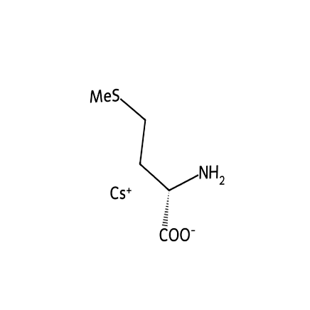 CSCC[C@H](N)C(=O)[O-].[Cs+]